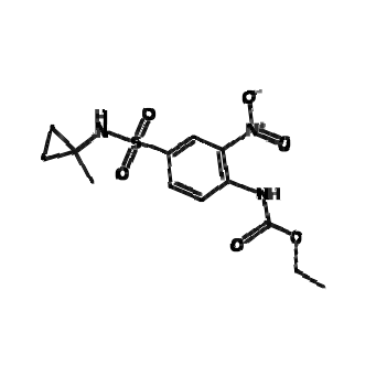 CCOC(=O)Nc1ccc(S(=O)(=O)NC2(C)CC2)cc1[N+](=O)[O-]